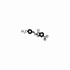 Cc1ccc(CSc2nc3cc([N+](=O)[O-])ccc3[nH]2)cc1